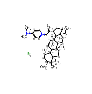 C=C(C[n+]1ccc(N(C)C)cc1)[C@@H]1CC[C@]2(COC(C)=O)CC[C@]3(C)[C@H](CCC4[C@@]5(C)CCC(OC(C)=O)C(C)(C)[C@@H]5CC[C@]43C)[C@@H]12.[Br-]